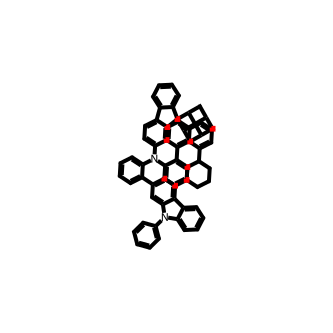 c1ccc(-n2c3ccccc3c3ccc(-c4ccccc4N(c4ccc5c(c4)C4(c6ccccc6-5)C5CC6CC7CC4C675)c4ccccc4-c4cccc5cccc(C6CCCCC6)c45)cc32)cc1